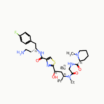 CC[C@H](C)C(NC(=O)[C@H]1CCCCN1C)C(=O)N(CC)[C@H](C[C@@H](O)c1nc(C(=O)N[C@H](CCN)Cc2ccc(F)cc2)cs1)C(C)C